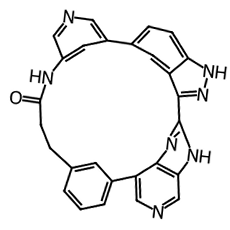 O=C1CCc2cccc(c2)-c2cncc3[nH]c(nc23)-c2n[nH]c3ccc(cc23)-c2cncc(c2)N1